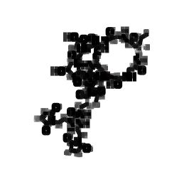 CC[C@H](C)[C@@H]1CNC(=O)CNC(=O)[C@@H]2Cc3c([nH]c4ccc(NC(=O)CCNP(=O)(NCCN5C(=O)C=CC5=O)NCCN5C(=O)C=CC5=O)cc34)SC[C@H](NC(=O)CNC1=O)C(=O)N[C@@H](CC(=O)O)C(=O)N1C[C@H](O)C[C@H]1C(=O)N[C@@H]([C@@H](C)CC)C(=O)N2